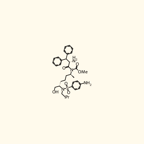 COC(=O)N(C(=O)[C@@H](N)C(c1ccccc1)c1ccccc1)[C@@H](C)CCC[C@@H](CO)N(CC(C)C)S(=O)(=O)c1ccc(N)cc1